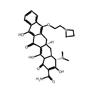 CN(C)[C@@H]1C(O)=C(C(N)=O)C(=O)C2C(O)=C3C(=O)c4c(c(OCCN5CCC5)c5ccccc5c4O)C[C@H]3CC21